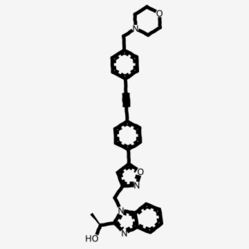 C[C@H](O)c1nc2ccccc2n1Cc1cc(-c2ccc(C#Cc3ccc(CN4CCOCC4)cc3)cc2)on1